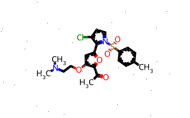 CC(=O)c1oc(-c2c(Cl)ccn2S(=O)(=O)c2ccc(C)cc2)cc1OCCN(C)C